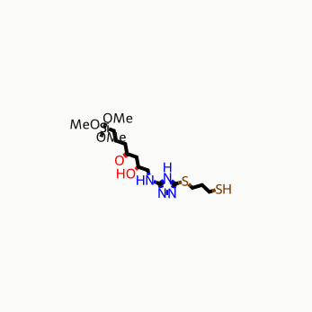 CO[Si](CCCC(=O)CC(O)CNc1nnc(SCCCS)[nH]1)(OC)OC